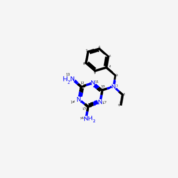 CCN(Cc1ccccc1)c1nc(N)nc(N)n1